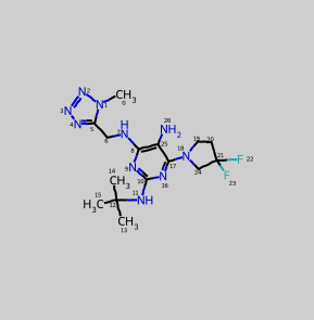 Cn1nnnc1CNc1nc(NC(C)(C)C)nc(N2CCC(F)(F)C2)c1N